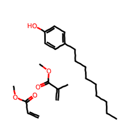 C=C(C)C(=O)OC.C=CC(=O)OC.CCCCCCCCCc1ccc(O)cc1